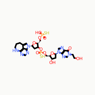 O=c1c2ncn([C@H]3C[C@H](O)[C@@H](COP(=O)(S)OC4C[C@H](n5cc6c7c(ncnc75)NCCC6)O[C@@H]4COP(=O)(O)S)O3)c2ncn1CCO